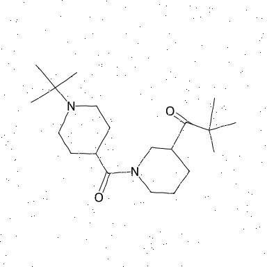 CC(C)(C)C(=O)C1CCCN(C(=O)C2CCN(C(C)(C)C)CC2)C1